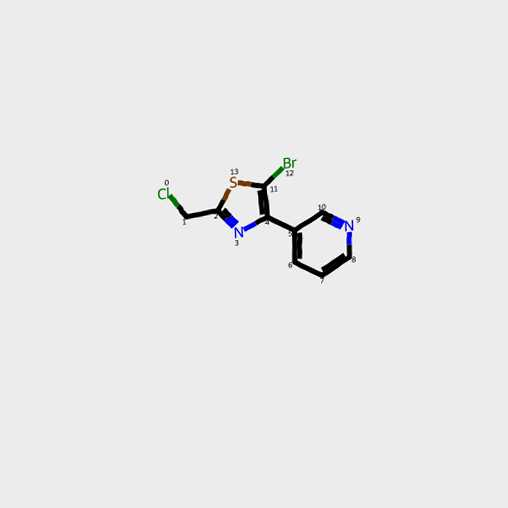 ClCc1nc(-c2cccnc2)c(Br)s1